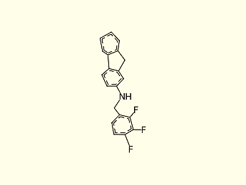 Fc1ccc(CNc2ccc3c(c2)Cc2ccccc2-3)c(F)c1F